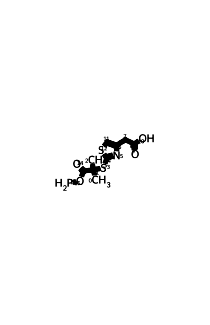 CC(C)(Sc1nc(CC(=O)O)cs1)C(=O)OP